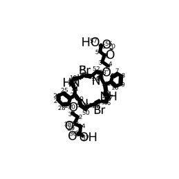 COC(CCOc1ccccc1-c1c2nc(c(Br)c3ccc([nH]3)c(-c3ccccc3OCCC(CC(=O)O)OC)c3nc(c(Br)c4ccc1[nH]4)C=C3)C=C2)CC(=O)O